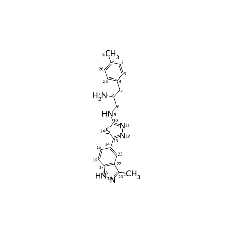 Cc1ccc(CC(N)CNc2nnc(-c3ccc4[nH]nc(C)c4c3)s2)cc1